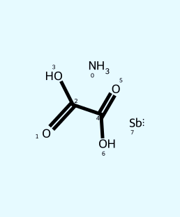 N.O=C(O)C(=O)O.[Sb]